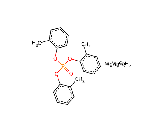 Cc1ccccc1OP(=O)(Oc1ccccc1C)Oc1ccccc1C.[CaH2].[MgH2].[MgH2]